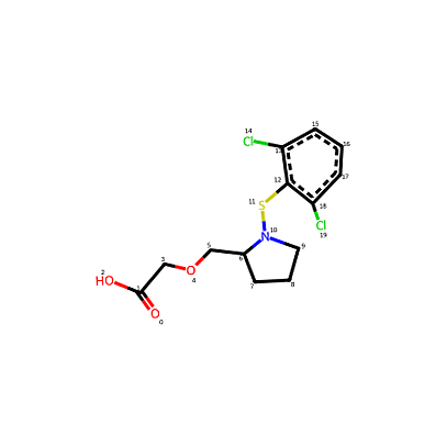 O=C(O)COCC1CCCN1Sc1c(Cl)cccc1Cl